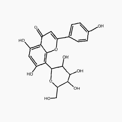 O=c1cc(-c2ccc(O)cc2)oc2c(C3OC(CO)C(O)C(O)C3O)c(O)cc(O)c12